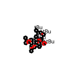 CC(C)(C)c1ccc2c(c1)c1cc(C(C)(C)C)ccc1n2-c1ccc2c(c1)N(c1cc(-c3ccccc3)cc(-c3ccccc3)c1)c1cc(-c3c(-c4ccc5oc6ccccc6c5c4)cccc3-n3c4ccc(C(C)(C)C)cc4c4cc(C(C)(C)C)ccc43)cc3c1B2c1ccc(-n2c4ccccc4c4ccccc42)cc1N3c1c(-c2ccccc2)cccc1C(C)(C)C